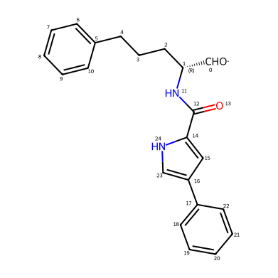 O=[C][C@@H](CCCc1ccccc1)NC(=O)c1cc(-c2ccccc2)c[nH]1